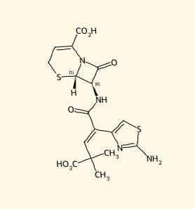 CC(C)(C=C(C(=O)N[C@@H]1C(=O)N2C(C(=O)O)=CCS[C@@H]12)c1csc(N)n1)C(=O)O